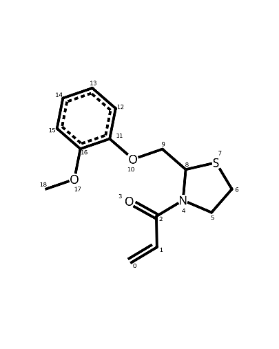 C=CC(=O)N1CCSC1COc1ccccc1OC